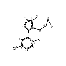 Cc1cnc(Cl)nc1-c1cnn(C)c1CC1CC1